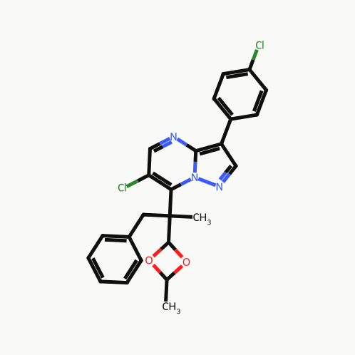 CC1OC(C(C)(Cc2ccccc2)c2c(Cl)cnc3c(-c4ccc(Cl)cc4)cnn23)O1